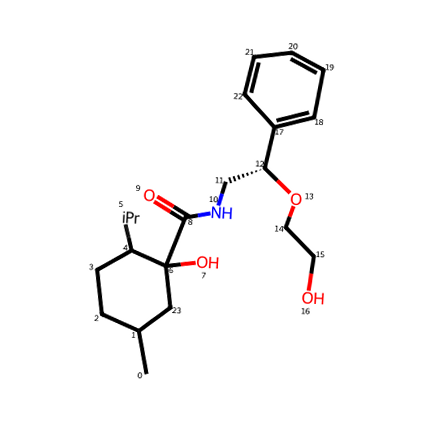 CC1CCC(C(C)C)C(O)(C(=O)NC[C@@H](OCCO)c2ccccc2)C1